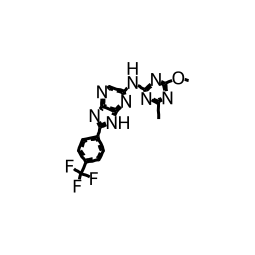 COc1nc(C)nc(Nc2cnc3nc(-c4ccc(C(F)(F)F)cc4)[nH]c3n2)n1